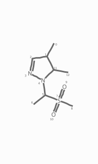 CC1C=NN(C(C)S(C)(=O)=O)C1C